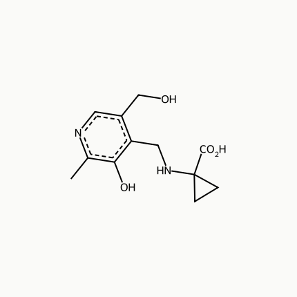 Cc1ncc(CO)c(CNC2(C(=O)O)CC2)c1O